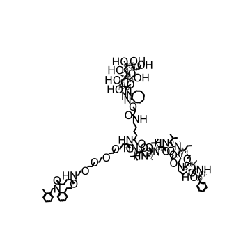 C=Cc1ccccc1N(Cc1ccccc1C)C(=O)CCC(=O)NCCOCCOCCOCCOCCC(=O)NC(CCCCNC(=O)COC1CCCCCc2c1nnn2[C@H]1O[C@H](CO)[C@@](C)([C@H]2O[C@H](CO)[C@@H](O)[C@H](O)[C@H]2O)[C@H](O)[C@H]1O)C(=O)N[C@H](C(=O)N[C@@H](C)C(=O)N(C)[C@H](C(=O)N[C@H](C(=O)N(C)[C@@H]([C@@H](C)CC)[C@@H](CC(=O)N1CCC[C@H]1[C@H](OC)[C@@H](C)C(=O)N[C@H](C)[C@@H](O)c1ccccc1)OC)C(C)C)C(C)C)C(C)C